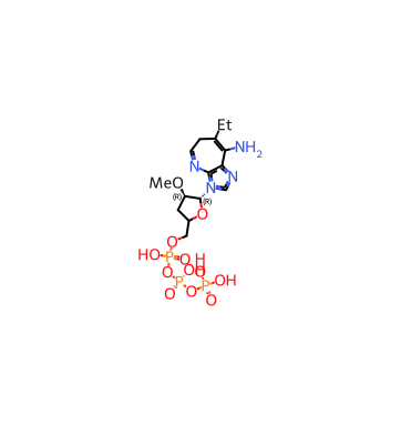 CCC1=C(N)c2ncn([C@@H]3OC(COP(=O)(O)OP(=O)(O)OP(=O)(O)O)C[C@H]3OC)c2N=CC1